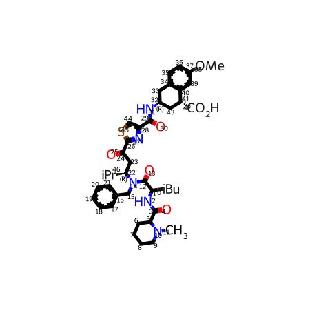 CCC(C)C(NC(=O)C1CCCCN1C)C(=O)N(Cc1ccccc1)[C@H](CC(=O)c1nc(C(=O)N[C@H]2Cc3ccc(OC)cc3[C@H](C(=O)O)C2)cs1)C(C)C